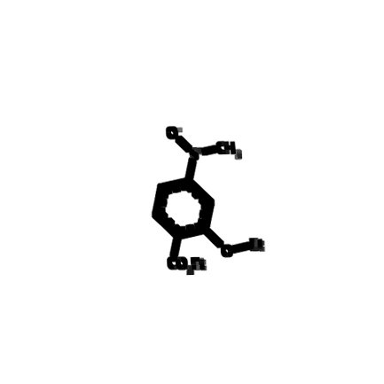 CCOC(=O)c1ccc([S+](C)[O-])cc1OCC